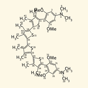 COc1cc(N(C)C)cc(OC)c1-c1sc(-c2sc(-c3sc(-c4sc(-c5c(OC)cc(N(C)C)cc5OC)c(C)c4C)c(C)c3C)c(C)c2C)c(C)c1C